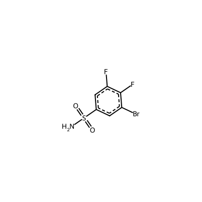 NS(=O)(=O)c1cc(F)c(F)c(Br)c1